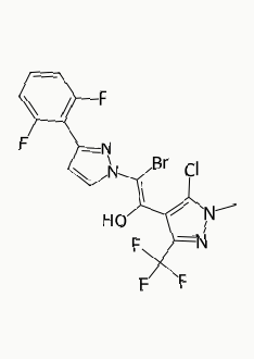 Cn1nc(C(F)(F)F)c(C(O)=C(Br)n2ccc(-c3c(F)cccc3F)n2)c1Cl